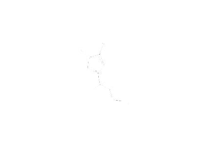 COCC(C)c1cc(N)n(C)c1